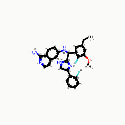 CCc1cc(OC)c(F)c(C(Nc2ccc3c(N)nccc3c2)c2nc(-c3ccccc3F)c[nH]2)c1